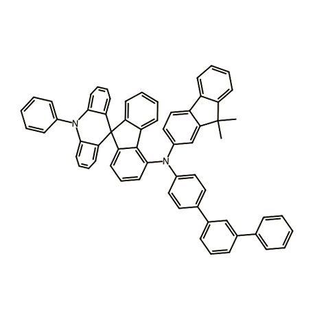 CC1(C)c2ccccc2-c2ccc(N(c3ccc(-c4cccc(-c5ccccc5)c4)cc3)c3cccc4c3-c3ccccc3C43c4ccccc4N(c4ccccc4)c4ccccc43)cc21